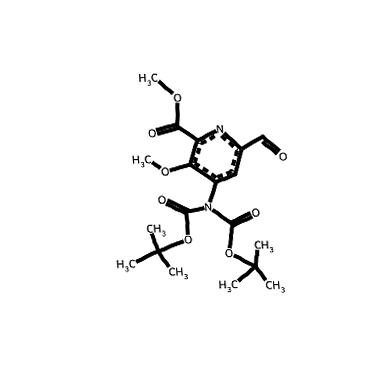 COC(=O)c1nc(C=O)cc(N(C(=O)OC(C)(C)C)C(=O)OC(C)(C)C)c1OC